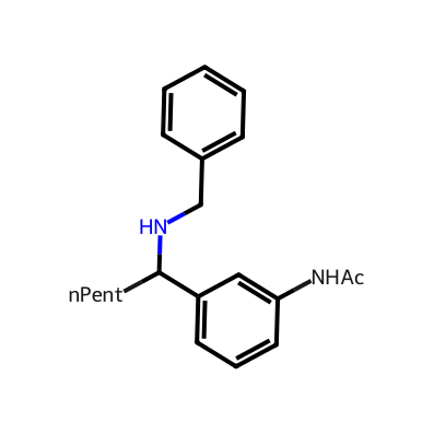 CCCCCC(NCc1ccccc1)c1cccc(NC(C)=O)c1